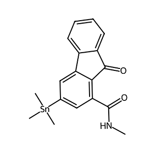 CNC(=O)c1c[c]([Sn]([CH3])([CH3])[CH3])cc2c1C(=O)c1ccccc1-2